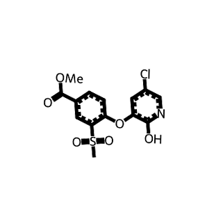 COC(=O)c1ccc(Oc2cc(Cl)cnc2O)c(S(C)(=O)=O)c1